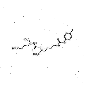 O=C(O)CCC[C@H](NC(=O)N[C@@H](CCCCNC(=O)Nc1ccc(I)cc1)C(=O)O)C(=O)O